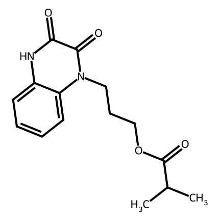 CC(C)C(=O)OCCCn1c(=O)c(=O)[nH]c2ccccc21